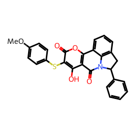 COc1ccc(Sc2c(O)c3c(=O)n4c5c(cccc5c3oc2=O)CC4c2ccccc2)cc1